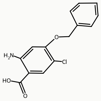 Nc1cc(OCc2ccccc2)c(Cl)cc1C(=O)O